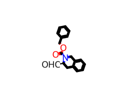 O=C[C@@H]1Cc2ccccc2CN1C(=O)OCc1ccccc1